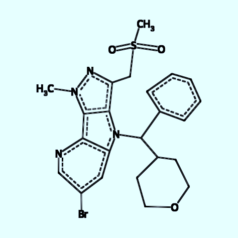 Cn1nc(CS(C)(=O)=O)c2c1c1ncc(Br)cc1n2C(c1ccccc1)C1CCOCC1